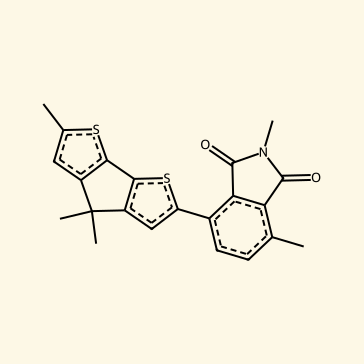 Cc1cc2c(s1)-c1sc(-c3ccc(C)c4c3C(=O)N(C)C4=O)cc1C2(C)C